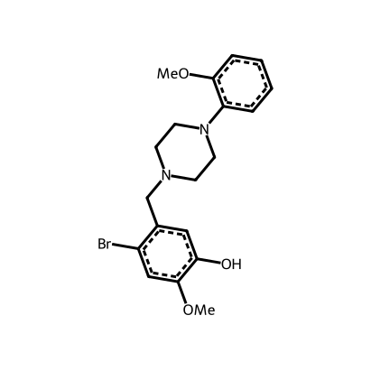 COc1cc(Br)c(CN2CCN(c3ccccc3OC)CC2)cc1O